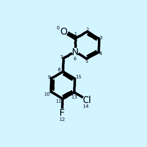 O=c1ccccn1Cc1ccc(F)c(Cl)c1